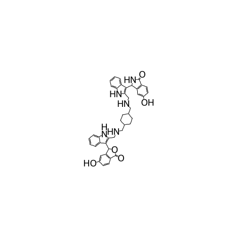 O=C1NC(c2c(CNCC3CCC(CNCc4[nH]c5ccccc5c4C4OC(=O)c5ccc(O)cc54)CC3)[nH]c3ccccc23)c2cc(O)ccc21